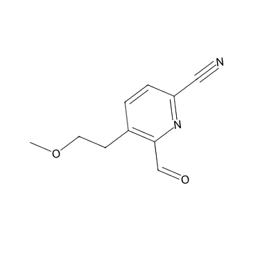 COCCc1ccc(C#N)nc1C=O